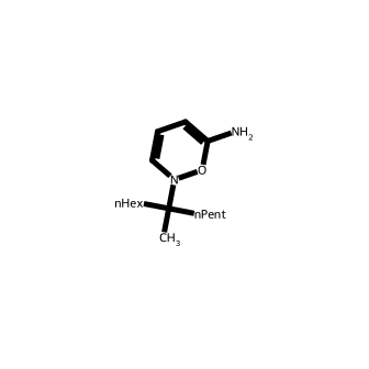 CCCCCCC(C)(CCCCC)N1C=CC=C(N)O1